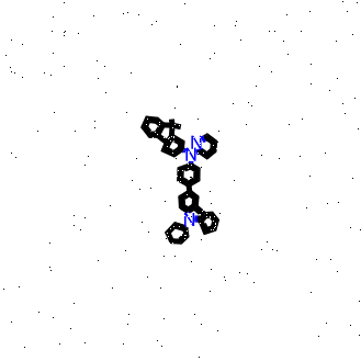 CC1(C)c2ccccc2-c2ccc(N(c3ccc(-c4ccc5c(c4)c4ccccc4n5C4=CCCC=C4)cc3)c3ccccn3)cc21